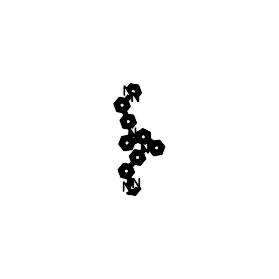 c1cnc(-c2cccc(-c3ccc(-n4c5ccccc5c5c4ccc4c6ccccc6n(-c6ccc(-c7cccc(-c8ncccn8)c7)cc6)c45)cc3)c2)nc1